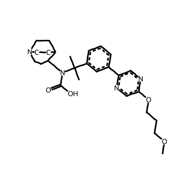 COCCCOc1cnc(-c2cccc(C(C)(C)N(C(=O)O)C3CCN4CCC3CC4)c2)cn1